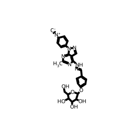 [C-]#[N+]c1ccc(-n2ncc3c(NN=Cc4ccc(OC5OC(CO)C(O)C(O)C5O)cc4)nc(C)nc32)cc1